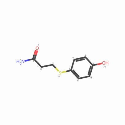 NC(=O)CCSc1ccc(O)cc1